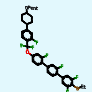 CCCCCC1CCC(c2ccc(C(F)(F)Oc3ccc(-c4ccc(-c5cc(F)c(SCC)c(F)c5)c(F)c4)c(F)c3)c(F)c2)CC1